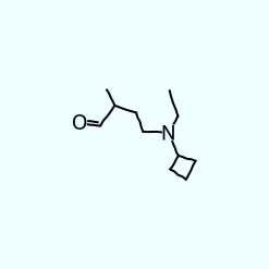 CCN(CCC(C)C=O)C1CCC1